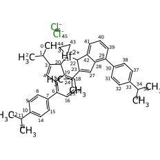 CC(C)C1=Cc2c(-c3ccc(C(C)C)cc3)cccc2[CH]1[Hf+2]1([CH]2C(C(C)C)=Cc3c(-c4ccc(C(C)C)cc4)cccc32)[CH2][CH2]1.[Cl-].[Cl-]